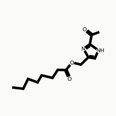 CCCCCCCC(=O)OCc1c[nH]c(C(C)=O)n1